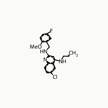 C=CCNc1cc(NCc2cc(F)ccc2OC)nc2ccc(Cl)cc12